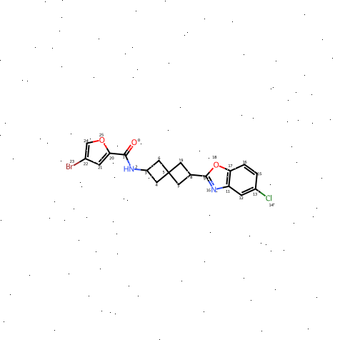 O=C(NC1CC2(C1)CC(c1nc3cc(Cl)ccc3o1)C2)c1cc(Br)co1